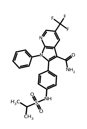 CC(C)S(=O)(=O)Nc1ccc(-c2c(C(N)=O)c3cc(C(F)(F)F)cnc3n2-c2ccccc2)cc1